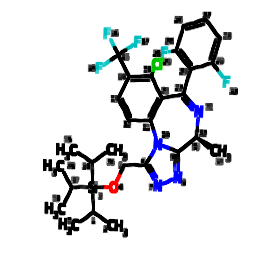 CC(C)[Si](OCc1nnc2n1-c1ccc(C(F)(F)F)c(Cl)c1C(c1c(F)cccc1F)=N[C@H]2C)(C(C)C)C(C)C